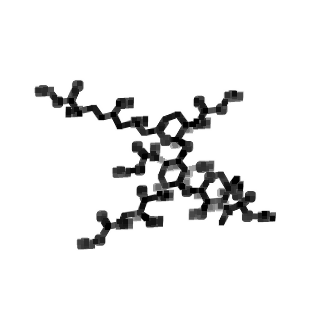 CN(C(=O)OC(C)(C)C)[C@@H]1[C@@H](O)[C@@H](O[C@@H]2[C@@H](O)[C@H](O[C@H]3OC(CNCC(O)CCNC(=O)OC(C)(C)C)=CC[C@H]3NC(=O)OC(C)(C)C)[C@@H](NC(=O)OC(C)(C)C)C[C@H]2NC(=O)[C@@H](O)CNC(=O)OC(C)(C)C)OC[C@]1(C)O